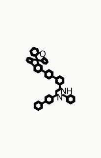 C1=C(c2cccc(-c3ccc(-c4ccc5c(c4)C4(c6ccccc6Oc6ccccc64)c4ccccc4-5)cc3)c2)NC(c2ccccc2)N=C1c1ccc(-c2ccccc2)cc1